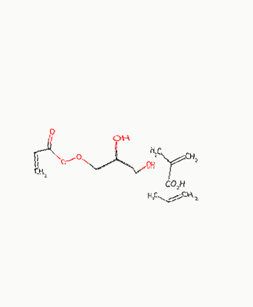 C=C(C)C(=O)O.C=CC.C=CC(=O)OOCC(O)CO